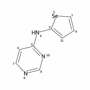 c1c[se]c(Nc2ccncn2)c1